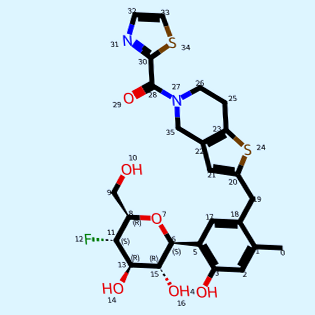 Cc1cc(O)c([C@@H]2O[C@H](CO)[C@@H](F)[C@H](O)[C@H]2O)cc1Cc1cc2c(s1)CCN(C(=O)c1nccs1)C2